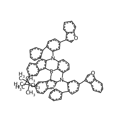 CC(C)(C)c1ccc2sc3c(c2c1)B1c2c(cccc2N(c2cc(-c4coc5ccccc45)ccc2-c2ccccc2)c2sc4ccc(C(C)(C)C)cc4c21)N3c1cc(-c2coc3ccccc23)ccc1-c1ccccc1